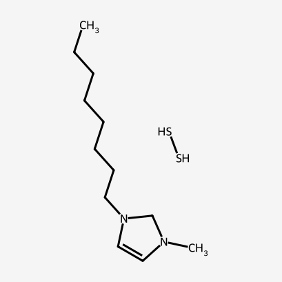 CCCCCCCCN1C=CN(C)C1.SS